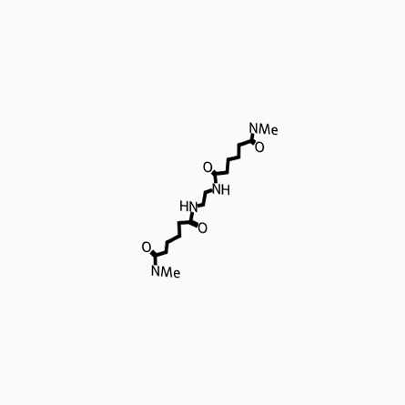 CNC(=O)CCCCC(=O)NCCNC(=O)CCCCC(=O)NC